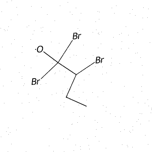 CCC(Br)C([O])(Br)Br